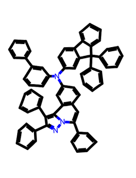 c1ccc(-c2cccc(N(c3ccc4c(c3)C(c3ccccc3)(c3ccccc3)c3ccccc3-4)c3ccc4cc(-c5ccccc5)n5nc(-c6ccccc6)c(-c6ccccc6)c5c4c3)c2)cc1